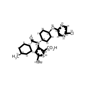 CC(C)(C)c1cc(N(C(=O)[C@H]2CC[C@H](C)CC2)[C@H]2CC[C@H](Oc3cnc(Cl)cn3)CC2)c(C(=O)O)s1